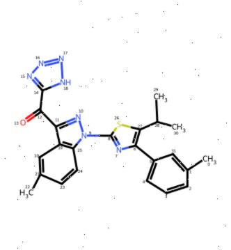 Cc1cccc(-c2nc(-n3nc(C(=O)c4nnn[nH]4)c4cc(C)ccc43)sc2C(C)C)c1